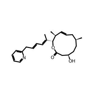 C/C(=C\C=C\Cc1ccccn1)[C@H]1OC(=O)C[C@H](O)CC[C@H](C)C/C=C/[C@@H]1C